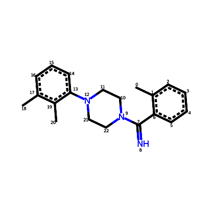 Cc1ccccc1C(=N)N1CCN(c2cccc(C)c2C)CC1